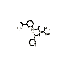 C=N/C(N)=C(\N=C(/CC)c1cccnc1)C(=C)Nc1cccc(C(=C)N)c1